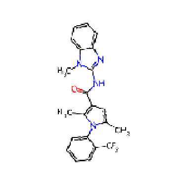 Cc1cc(C(=O)Nc2nc3ccccc3n2C)c(C)n1-c1ccccc1C(F)(F)F